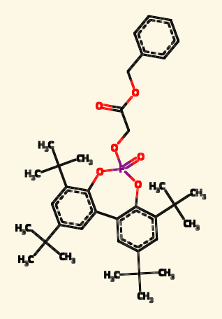 CC(C)(C)c1cc2c(c(C(C)(C)C)c1)OP(=O)(OCC(=O)OCc1ccccc1)Oc1c-2cc(C(C)(C)C)cc1C(C)(C)C